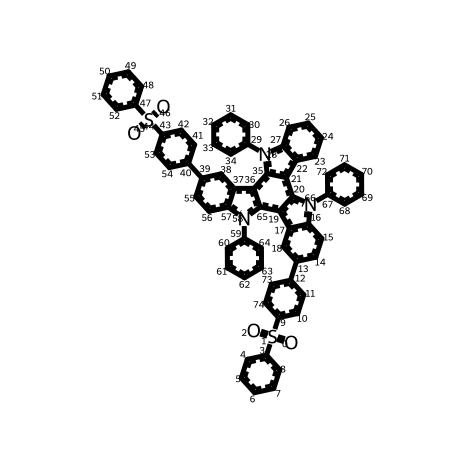 O=S(=O)(c1ccccc1)c1ccc(-c2ccc3c(c2)c2c(c4c5ccccc5n(-c5ccccc5)c4c4c5cc(-c6ccc(S(=O)(=O)c7ccccc7)cc6)ccc5n(-c5ccccc5)c42)n3-c2ccccc2)cc1